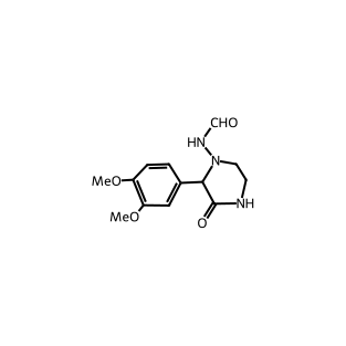 COc1ccc(C2C(=O)NCCN2NC=O)cc1OC